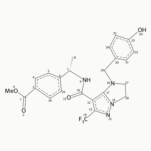 COC(=O)c1ccc([C@H](C)NC(=O)c2c(C(F)(F)F)nn3c2N(Cc2ccc(O)cc2)CC3)cc1